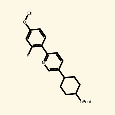 CCCCCC1CCC(c2ccc(-c3ccc(OCC)cc3F)nc2)CC1